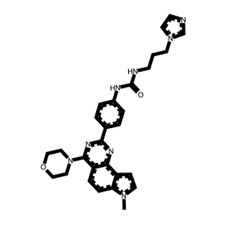 Cn1ccc2c3nc(-c4ccc(NC(=O)NCCCn5ccnc5)cc4)nc(N4CCOCC4)c3ccc21